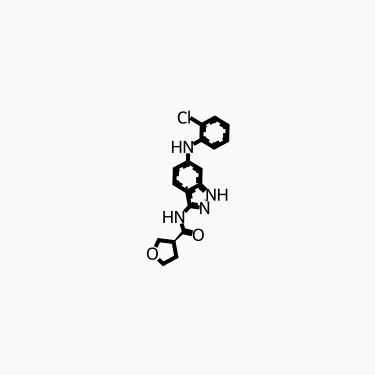 O=C(Nc1n[nH]c2cc(Nc3ccccc3Cl)ccc12)[C@H]1CCOC1